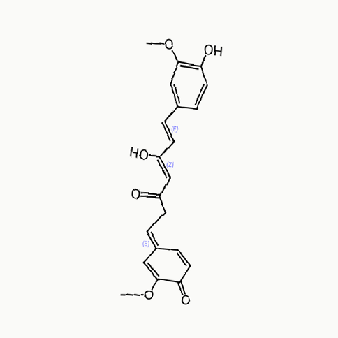 COC1=C/C(=C/CC(=O)/C=C(O)/C=C/c2ccc(O)c(OC)c2)C=CC1=O